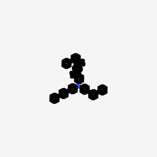 CC1(C)c2cc(N(c3ccc(-c4ccc(-c5ccccc5)cc4)cc3)c3ccc(-c4cccc(-c5ccccc5)c4)cc3)ccc2-c2cc3c(cc21)-c1c(-c2ccccc2)cccc1C3(C)C